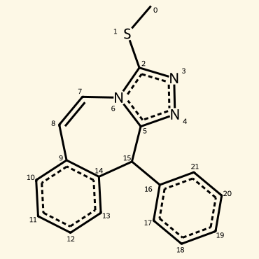 CSc1nnc2n1C=Cc1ccccc1C2c1ccccc1